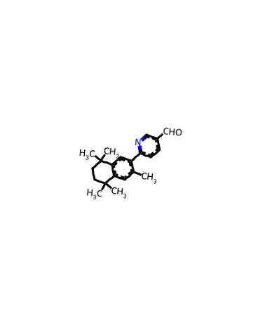 Cc1cc2c(cc1-c1ccc(C=O)cn1)C(C)(C)CCC2(C)C